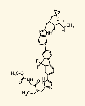 CCN(Cc1ncc(-c2ccc3c(c2)C(F)(F)c2cc(-c4ccc5nc(CN(CC6(C)CC6)C(=O)CNC)[nH]c5c4)ccc2-3)[nH]1)C(=O)CNC(=O)OC